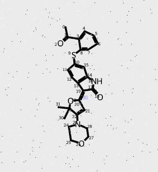 CC(=O)c1ccccc1Sc1ccc2c(c1)NC(=O)/C2=C1\C=C(N2CCOCC2)C(C)(C)O1